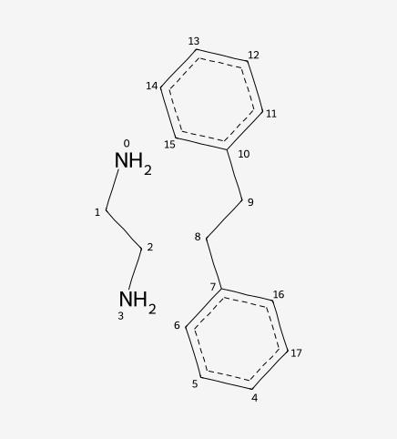 NCCN.c1ccc(CCc2ccccc2)cc1